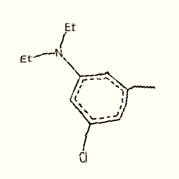 CCN(CC)c1cc(C)cc(Cl)c1